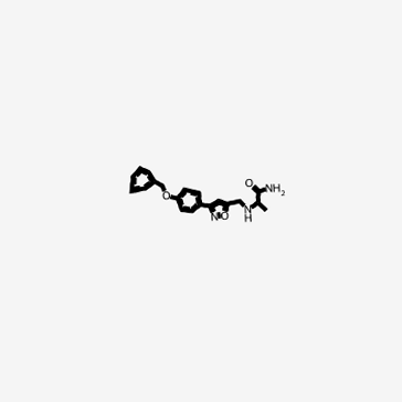 CC(NCc1cc(-c2ccc(OCc3ccccc3)cc2)no1)C(N)=O